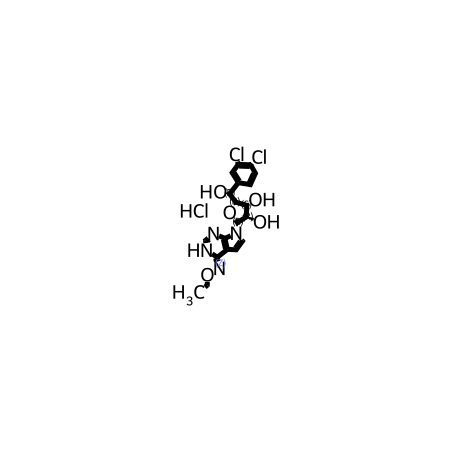 CCO/N=c1\[nH]cnc2c1ccn2[C@@H]1O[C@H]([C@H](O)c2ccc(Cl)c(Cl)c2)[C@@H](O)[C@H]1O.Cl